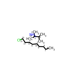 CC(C)C(C)C.CCCCCCCCCCl.N